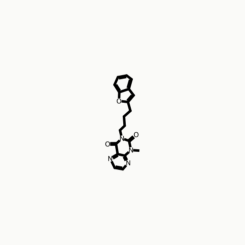 Cn1c(=O)n(CCCCc2cc3ccccc3o2)c(=O)c2nccnc21